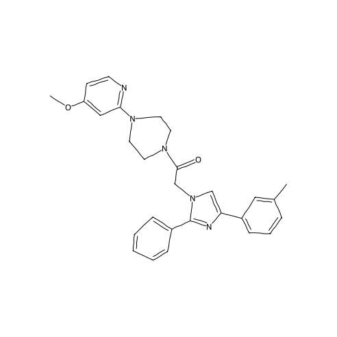 COc1ccnc(N2CCN(C(=O)Cn3cc(-c4cccc(C)c4)nc3-c3ccccc3)CC2)c1